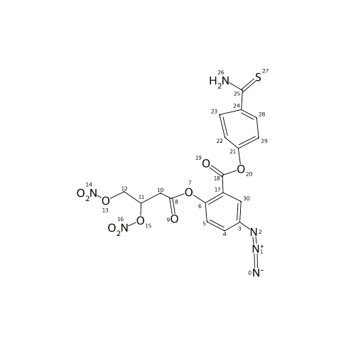 [N-]=[N+]=Nc1ccc(OC(=O)CC(CO[N+](=O)[O-])O[N+](=O)[O-])c(C(=O)Oc2ccc(C(N)=S)cc2)c1